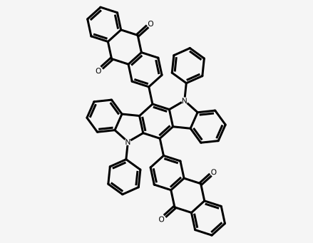 O=C1c2ccccc2C(=O)c2cc(-c3c4c5ccccc5n(-c5ccccc5)c4c(-c4ccc5c(c4)C(=O)c4ccccc4C5=O)c4c5ccccc5n(-c5ccccc5)c34)ccc21